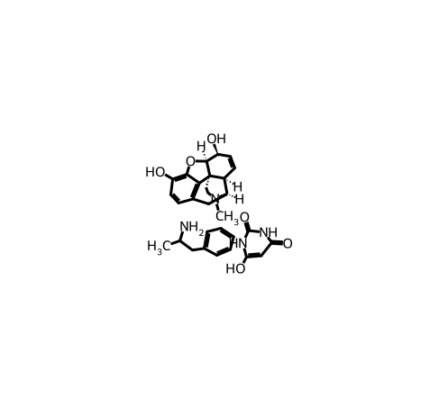 CC(N)Cc1ccccc1.CN1CC[C@]23c4c5ccc(O)c4O[C@H]2[C@@H](O)C=C[C@H]3[C@H]1C5.O=c1cc(O)[nH]c(=O)[nH]1